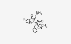 Cc1c(C#N)n(Cc2ccccc2)c(C(C(C)C)N(CCCN)C(=O)c2cccc(F)c2)nc1=O